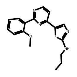 CCCNc1ncc(-c2ccnc(-c3ccccc3OC)n2)s1